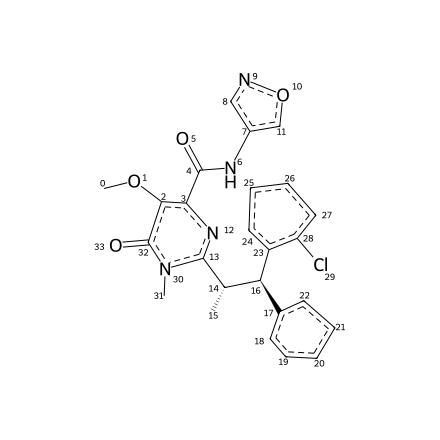 COc1c(C(=O)Nc2cnoc2)nc([C@@H](C)[C@H](c2ccccc2)c2ccccc2Cl)n(C)c1=O